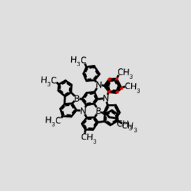 Cc1ccc(N(C2=CCC(C)C=C2)c2c(N(c3ccc(C)cc3)c3ccc(C)cc3)cc3c4c2B2c5ccc(C)cc5-c5cc(C)cc(c52)N4c2cc(C)cc4c2B3c2ccc(C)cc2-4)cc1